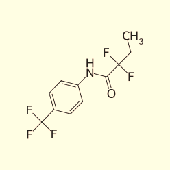 CCC(F)(F)C(=O)Nc1ccc(C(F)(F)F)cc1